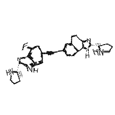 Fc1cc(C#Cc2ccc3c(c2)CCc2nc([C@@H]4CCCN4)[nH]c2-3)cc2[nH]c([C@@H]3CCCN3)nc12